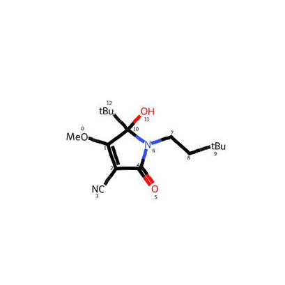 COC1=C(C#N)C(=O)N(CCC(C)(C)C)C1(O)C(C)(C)C